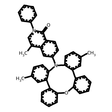 Cc1ccc2c(c1)-c1ccccc1Oc1ccccc1-c1cc(C)ccc1N2c1ccc2c(=O)n(-c3ccccc3)cc(C)c2c1